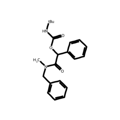 CN(Cc1ccccc1)C(=O)C(OC(=O)NC(C)(C)C)c1ccccc1